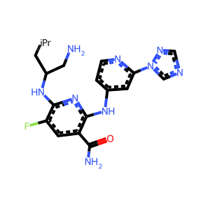 CC(C)CC(CN)Nc1nc(Nc2ccnc(-n3cncn3)c2)c(C(N)=O)cc1F